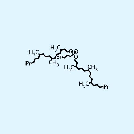 CC(C)CCCC(C)CCCC(C)CCCC(C)CCOP(=O)(CCCBr)OCCC(C)CCCC(C)CCCC(C)CCCC(C)C